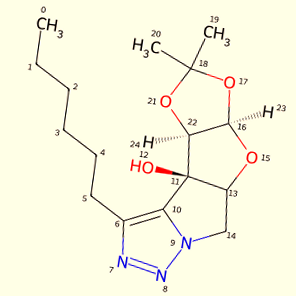 CCCCCCc1nnn2c1[C@@]1(O)C(C2)O[C@@H]2OC(C)(C)O[C@@H]21